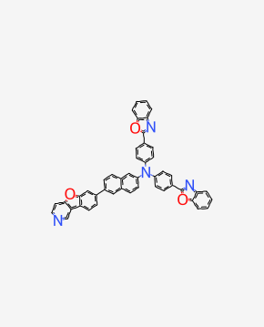 c1ccc2oc(-c3ccc(N(c4ccc(-c5nc6ccccc6o5)cc4)c4ccc5cc(-c6ccc7c(c6)oc6ccncc67)ccc5c4)cc3)nc2c1